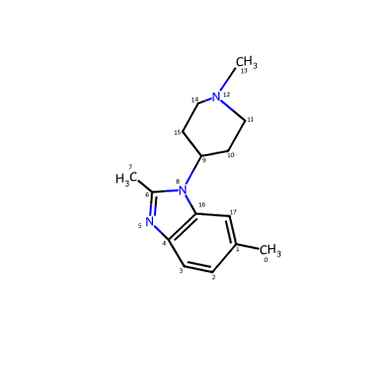 Cc1ccc2nc(C)n(C3CCN(C)CC3)c2c1